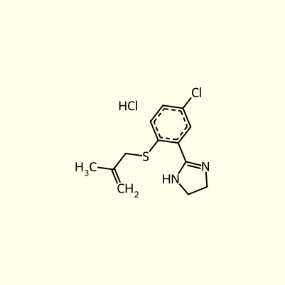 C=C(C)CSc1ccc(Cl)cc1C1=NCCN1.Cl